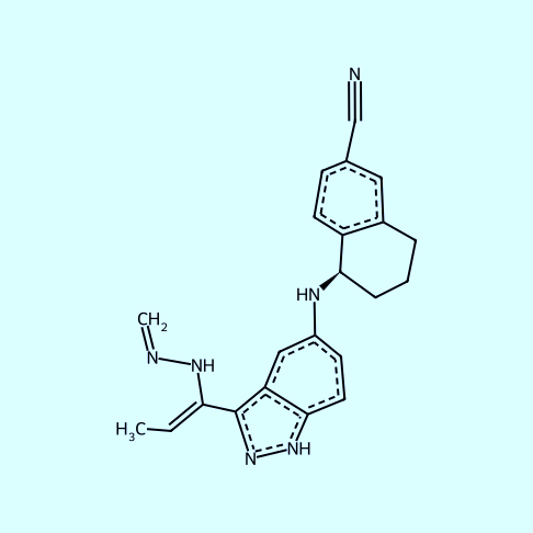 C=NN/C(=C\C)c1n[nH]c2ccc(N[C@@H]3CCCc4cc(C#N)ccc43)cc12